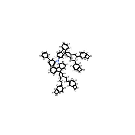 c1ccc(-c2cccc(N(c3ccc4c(c3)C(CCCCc3ccc5c(c3)CC5)(CCCCc3ccc5c(c3)CC5)c3ccccc3-4)c3cccc4c3-c3ccccc3C4(CCCCc3ccc4c(c3)CC4)CCCCc3ccc4c(c3)CC4)c2)cc1